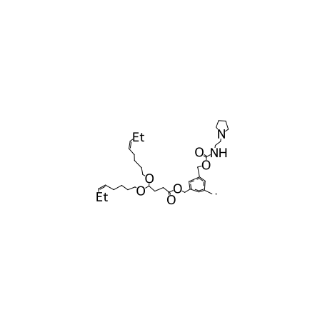 [CH2]c1cc(COC(=O)CCC(OCCCC/C=C\CC)OCCCC/C=C\CC)cc(COC(=O)NCCN2CCCC2)c1